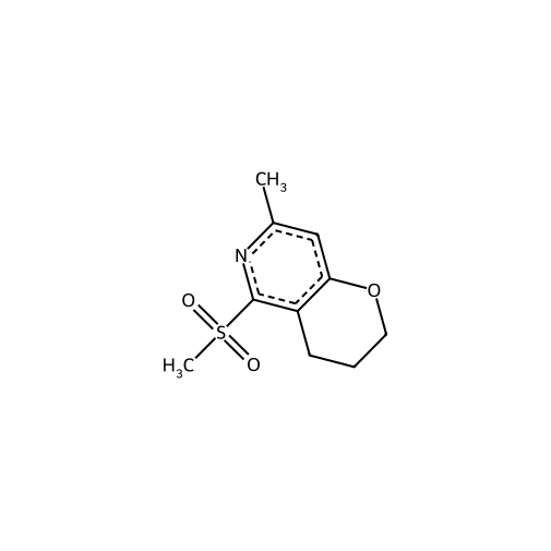 Cc1cc2c(c(S(C)(=O)=O)n1)CCCO2